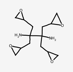 NC(CC1CO1)(CC1CO1)C(N)(CC1CO1)CC1CO1